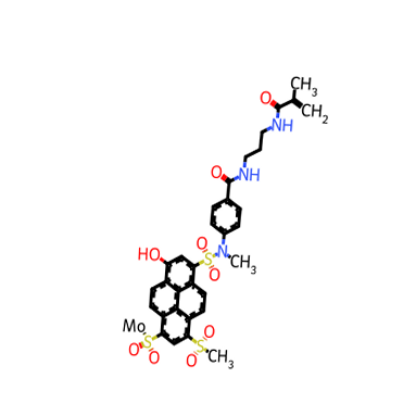 C=C(C)C(=O)NCCCNC(=O)c1ccc(N(C)S(=O)(=O)c2cc(O)c3ccc4c([S](=O)(=O)[Mo])cc(S(C)(=O)=O)c5ccc2c3c54)cc1